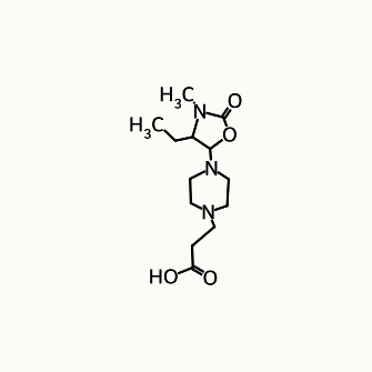 CCC1C(N2CCN(CCC(=O)O)CC2)OC(=O)N1C